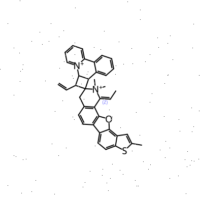 C=CC1C2C(c3ccccc3-c3cccc[n+]32)C12Cc1ccc3c(oc4c5cc(C)sc5ccc34)c1/C(=C/C)[N+]2(C)C